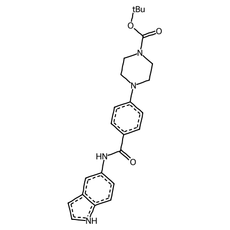 CC(C)(C)OC(=O)N1CCN(c2ccc(C(=O)Nc3ccc4[nH]ccc4c3)cc2)CC1